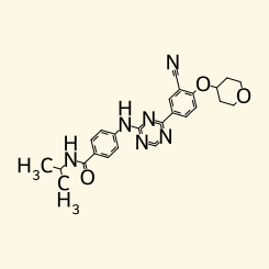 CC(C)NC(=O)c1ccc(Nc2ncnc(-c3ccc(OC4CCOCC4)c(C#N)c3)n2)cc1